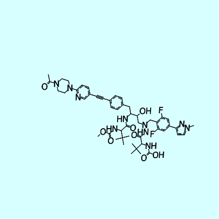 COC(=O)NC(C(=O)NC(Cc1ccc(C#Cc2ccc(N3CCN(C(C)=O)CC3)nc2)cc1)C(O)CN(Cc1c(F)cc(-c2ccn(C)n2)cc1F)NC(=O)C(NC(=O)O)C(C)(C)C)C(C)(C)C